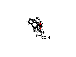 Cc1ccc2sc3c(Br)c2c1C1(NN=NN1C(C)COC(=O)N[C@H](C(=O)O)C(C)C)c1ccccc1-3